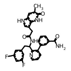 Cc1cc2[nH]cc(CC(=O)NC(Cc3cc(F)cc(F)c3)c3ncccc3-c3cccc(C(N)=O)c3)c2[nH]c1=O